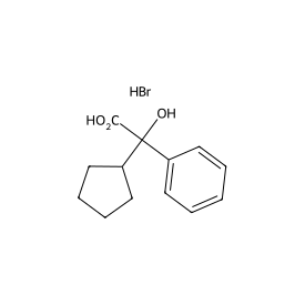 Br.O=C(O)C(O)(c1ccccc1)C1CCCC1